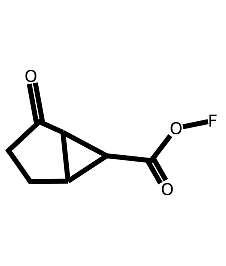 O=C1CCC2C1C2C(=O)OF